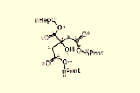 CCCCCCCOC(=O)C(O)(CC(=O)OCCCCC)CC(=O)OCCCCC